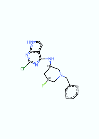 F[C@H]1C[C@@H](Nc2nc(Cl)nc3[nH]ccc23)CN(Cc2ccccc2)C1